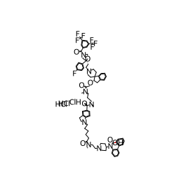 CN(CCN1CCC(N(C(=O)O)c2ccccc2-c2ccccc2)CC1)C(=O)CCCCCN1CCc2cc(C(=O)N(C)CCCN(C)C(=O)CO[C@H]3Cc4ccccc4C34CCN(CC[C@]3(c5ccc(F)cc5)CN(C(=O)c5cc(C(F)(F)F)cc(C(F)(F)F)c5)CO3)CC4)ccc21.Cl.Cl.Cl